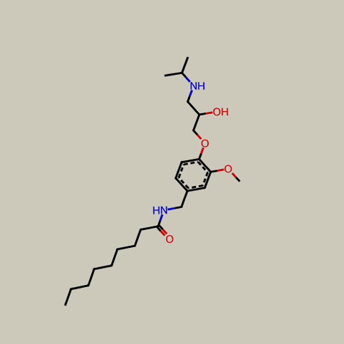 CCCCCCCCC(=O)NCc1ccc(OCC(O)CNC(C)C)c(OC)c1